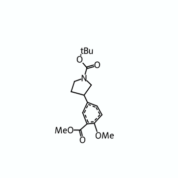 COC(=O)c1cc(C2CCN(C(=O)OC(C)(C)C)C2)ccc1OC